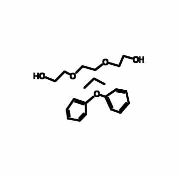 CCC.OCCOCCOCCO.c1ccc(Oc2ccccc2)cc1